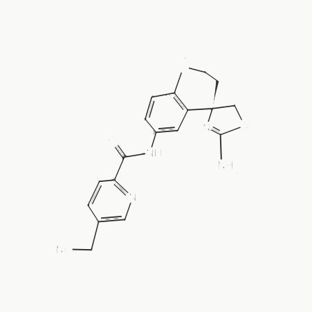 N#CCc1ccc(C(=O)Nc2ccc3c(c2)[C@]2(CCO3)CSC(N)=N2)nc1